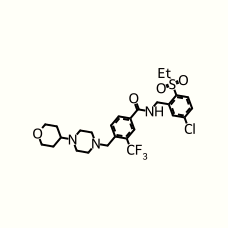 CCS(=O)(=O)c1ccc(Cl)cc1CNC(=O)c1ccc(CN2CCN(C3CCOCC3)CC2)c(C(F)(F)F)c1